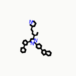 C=C/C(=C\C=C\c1cccnc1)c1cc(-c2cccc(-c3ccccc3)c2)nc(-c2ccc(-c3ccc4ccccc4c3)cc2)n1